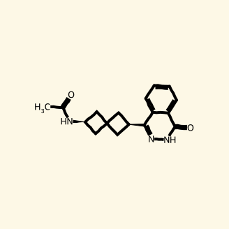 CC(=O)N[C@H]1CC2(C1)C[C@H](c1n[nH]c(=O)c3ccccc31)C2